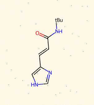 CC(C)(C)NC(=O)C=Cc1c[nH]cn1